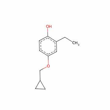 CCc1cc(OCC2CC2)ccc1O